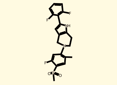 Cc1cc(S(C)(=O)=O)c(F)cc1N1CCc2[nH]c(-c3c(F)cccc3F)cc2C1